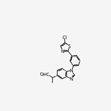 CC(C=O)c1ccc2c(c1)ncn2-c1cccc(-c2ncc(Cl)s2)c1